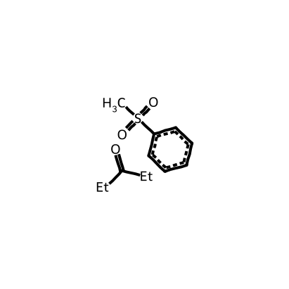 CCC(=O)CC.CS(=O)(=O)c1ccccc1